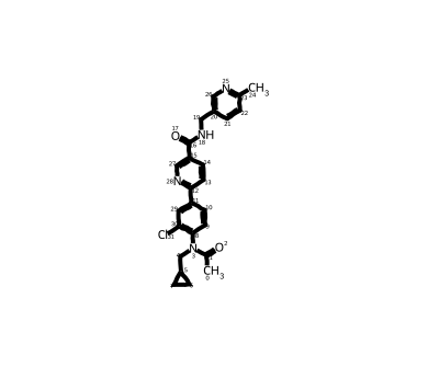 CC(=O)N(CC1CC1)c1ccc(-c2ccc(C(=O)NCc3ccc(C)nc3)cn2)cc1Cl